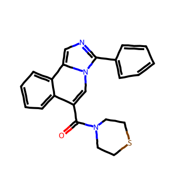 O=C(c1cn2c(-c3ccccc3)ncc2c2ccccc12)N1CCSCC1